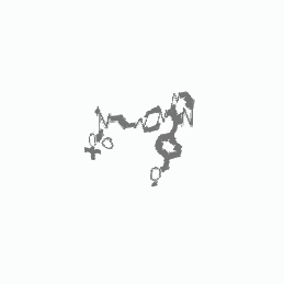 COCc1ccc(-c2nccnc2N2CCN(CCN(C)C(=O)OC(C)(C)C)CC2)cc1